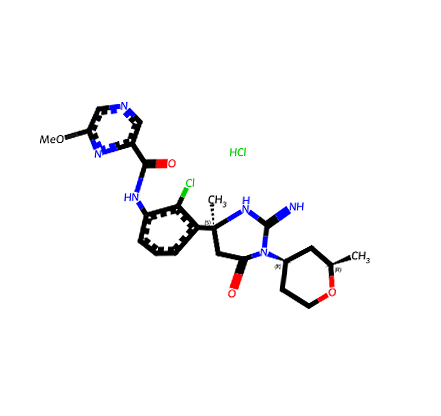 COc1cncc(C(=O)Nc2cccc([C@]3(C)CC(=O)N([C@@H]4CCO[C@H](C)C4)C(=N)N3)c2Cl)n1.Cl